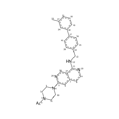 CC(=O)N1CCN(c2cc3ccnc(NCc4ccc(-c5cccc(C)c5)cc4)c3cn2)CC1